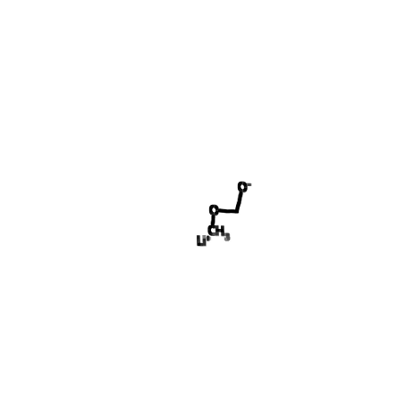 COC[O-].[Li+]